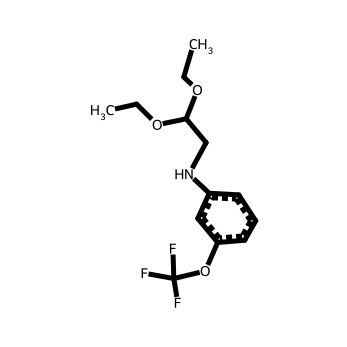 CCOC(CNc1cccc(OC(F)(F)F)c1)OCC